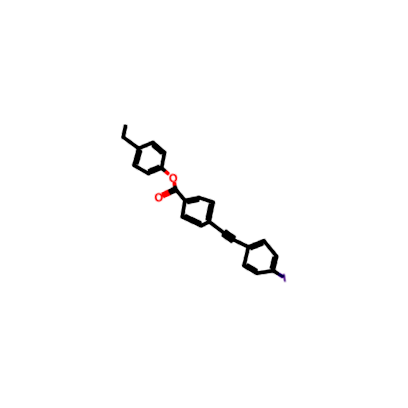 CCc1ccc(OC(=O)c2ccc(C#Cc3ccc(I)cc3)cc2)cc1